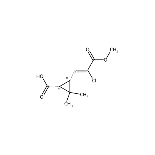 COC(=O)C(Cl)=C[C@H]1[C@@H](C(=O)O)C1(C)C